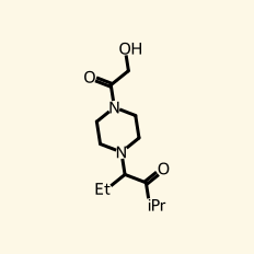 CCC(C(=O)C(C)C)N1CCN(C(=O)CO)CC1